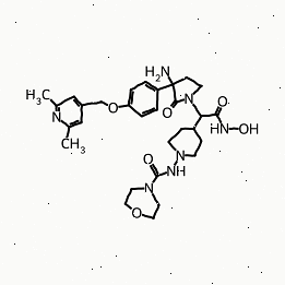 Cc1cc(COc2ccc(C3(N)CCN(C(C(=O)NO)C4CCN(NC(=O)N5CCOCC5)CC4)C3=O)cc2)cc(C)n1